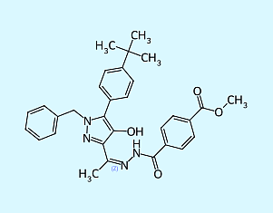 COC(=O)c1ccc(C(=O)N/N=C(/C)c2nn(Cc3ccccc3)c(-c3ccc(C(C)(C)C)cc3)c2O)cc1